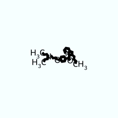 CCCCc1cc2ccccn2c1C(=O)c1ccc(OCCCN(CCC)CCC)cc1